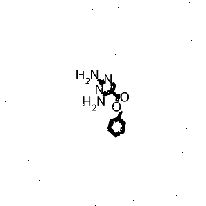 Nc1ncc(C(=O)OCc2ccccc2)c(N)n1